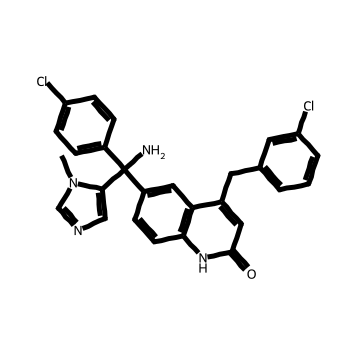 Cn1cncc1C(N)(c1ccc(Cl)cc1)c1ccc2[nH]c(=O)cc(Cc3cccc(Cl)c3)c2c1